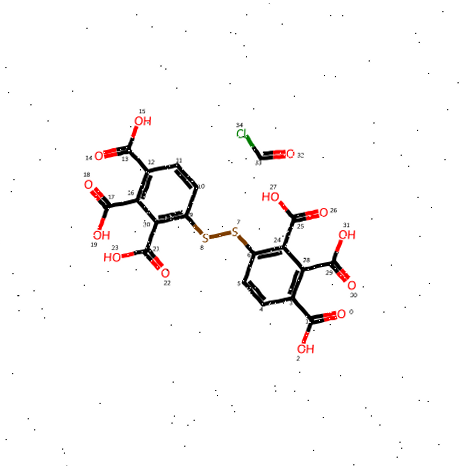 O=C(O)c1ccc(SSc2ccc(C(=O)O)c(C(=O)O)c2C(=O)O)c(C(=O)O)c1C(=O)O.O=CCl